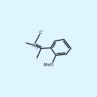 [CH2-]/[N+](C)=C(/C)c1ccccc1OC